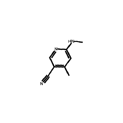 CNc1cc(C)c(C#N)cn1